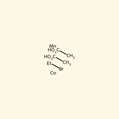 CC(=O)O.CC(=O)O.CCBr.[Co].[Mn]